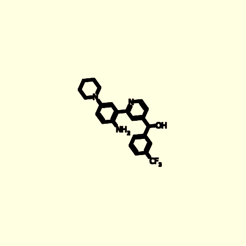 Nc1ccc(N2CCCCC2)cc1-c1cc(C(O)c2cccc(C(F)(F)F)c2)ccn1